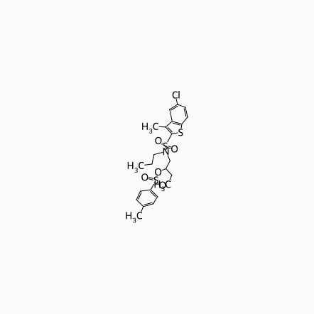 CCCN(CC(CC)OS(=O)(=O)c1ccc(C)cc1)S(=O)(=O)c1sc2ccc(Cl)cc2c1C